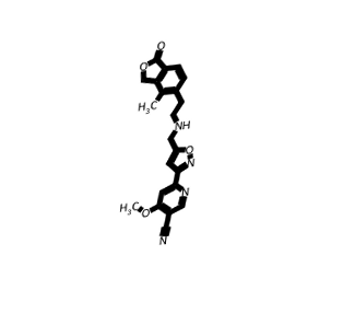 COc1cc(-c2cc(CNCCc3ccc4c(c3C)COC4=O)on2)ncc1C#N